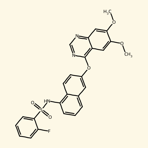 COc1cc2ncnc(Oc3ccc4c(NS(=O)(=O)c5ccccc5F)cccc4c3)c2cc1OC